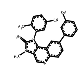 Cc1ccc(C#N)cc1-n1c(=N)n(C)c2cnc3ccc(-c4cccc(O)c4)cc3c21